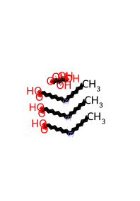 CCCCCCCC/C=C\CCCCCCCC(=O)O.CCCCCCCC/C=C\CCCCCCCC(=O)O.CCCCCCCC/C=C\CCCCCCCC(=O)O.O=C[C@H](O)[C@@H](O)[C@H](O)CO